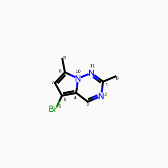 Cc1ncc2c(Br)cc(C)n2n1